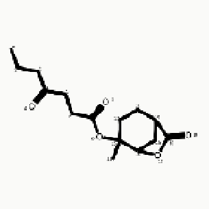 CCCC(=O)CCC(=O)OC1(C)CCC2CC1OC2=O